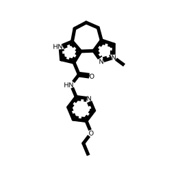 CCOc1ccc(NC(=O)c2c[nH]c3c2-c2nn(C)cc2CCC3)nc1